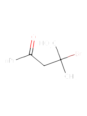 CCCC(=O)CC(C)(Br)C(=O)O